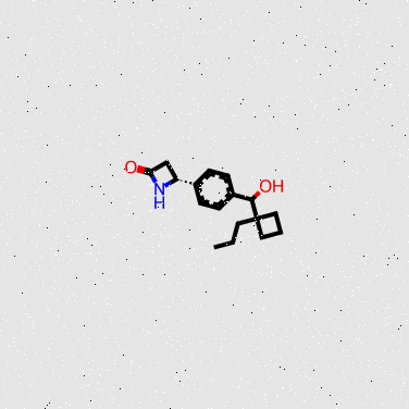 CCCC1(C(O)c2ccc([C@H]3CC(=O)N3)cc2)CCC1